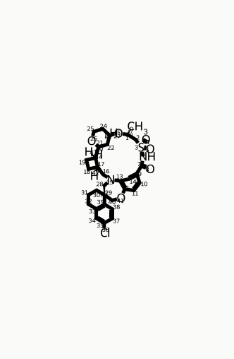 C[C@@H]1CS(=O)(=O)NC(=O)c2ccc3c(c2)N(C[C@@H]2CC[C@H]2[C@H]2C[C@H](CCO2)O1)C[C@@]1(CCCc2cc(Cl)ccc21)CO3